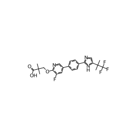 CC(C)(COc1ncc(-c2ccc(-c3ncc(C(C)(C)C(F)(F)F)[nH]3)cc2)cc1F)C(=O)O